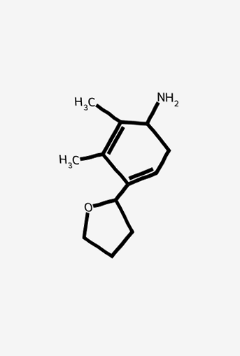 CC1=C(C)C(N)CC=C1C1CCCO1